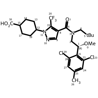 CO[C@@H](CN(CC(C)(C)C)C(=O)c1cnn(C2CCC(C(=O)O)CC2)c1C(F)(F)F)c1c(Cl)cc(C)cc1Cl